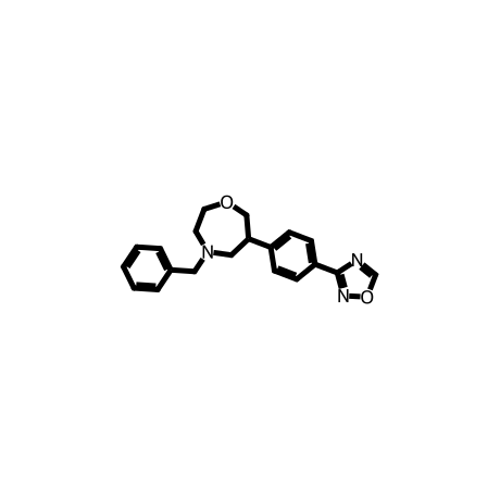 c1ccc(CN2CCOCC(c3ccc(-c4ncon4)cc3)C2)cc1